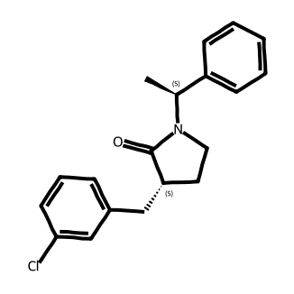 C[C@@H](c1ccccc1)N1CC[C@H](Cc2cccc(Cl)c2)C1=O